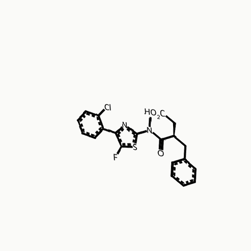 CN(C(=O)[C@@H](CC(=O)O)Cc1ccccc1)c1nc(-c2ccccc2Cl)c(F)s1